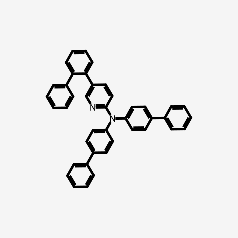 c1ccc(-c2ccc(N(c3ccc(-c4ccccc4)cc3)c3ccc(-c4ccccc4-c4ccccc4)cn3)cc2)cc1